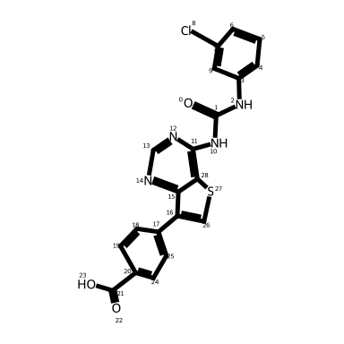 O=C(Nc1cccc(Cl)c1)Nc1ncnc2c(-c3ccc(C(=O)O)cc3)csc12